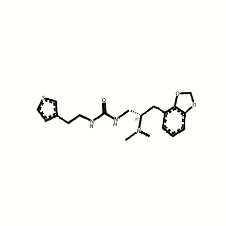 CN(C)[C@H](CNC(=O)NCCc1ccsc1)Cc1cccc2c1OCO2